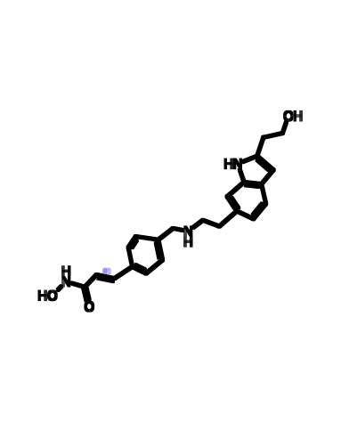 O=C(/C=C/c1ccc(CNCCc2ccc3cc(CCO)[nH]c3c2)cc1)NO